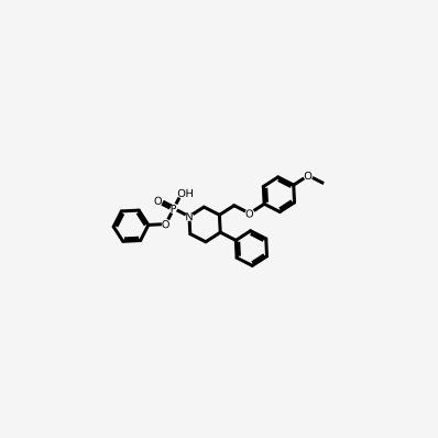 COc1ccc(OCC2CN(P(=O)(O)Oc3ccccc3)CCC2c2ccccc2)cc1